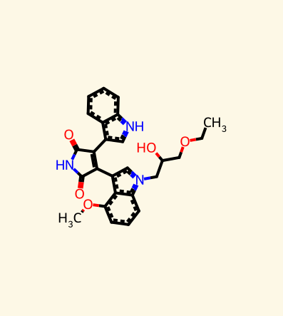 CCOCC(O)Cn1cc(C2=C(c3c[nH]c4ccccc34)C(=O)NC2=O)c2c(OC)cccc21